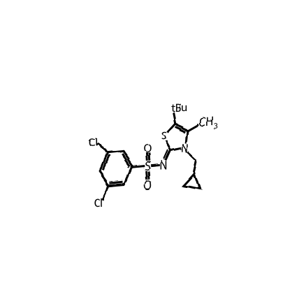 Cc1c(C(C)(C)C)s/c(=N\S(=O)(=O)c2cc(Cl)cc(Cl)c2)n1CC1CC1